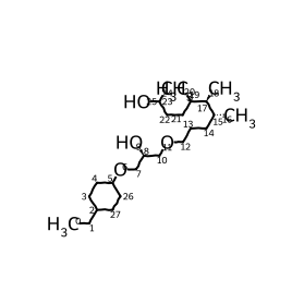 CCC1CCC(OC[C@@H](O)COCCC[C@@H](C)[C@H](C)C(C)CCC(C)O)CC1